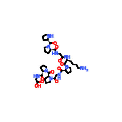 NCCCC[C@H](NC(=O)CNC(=O)[C@@H]1CCCN1C(=O)[C@@H]1CCCN1)C(=O)N1CCC[C@H]1C(=O)NCC(=O)N1CCC[C@H]1C(=O)N1CCC[C@H]1C(=O)NCC(=O)O